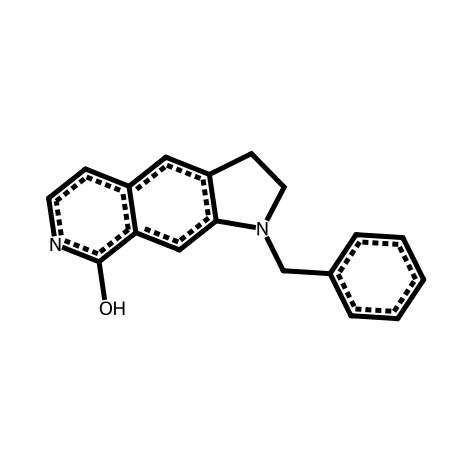 Oc1nccc2cc3c(cc12)N(Cc1ccccc1)CC3